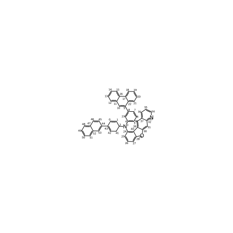 C1=CC(N(c2cccc(-c3cc4ccccc4c4ccccc34)c2)c2cccc3oc4cc5ncccc5cc4c23)CC=C1c1ccc2ccccc2c1